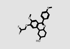 COc1cc2c(cc1OCC(F)F)C1CC(O)CCC1N=C2c1ccc(SC)cc1